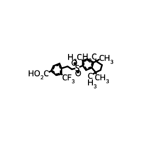 Cc1cc2c(cc1S(=O)(=O)CCc1ccc(C(=O)O)cc1C(F)(F)F)C(C)(C)CCC2(C)C